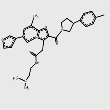 CN(C)CCNC(=O)Cc1c(C(=O)N2CCC(c3ccc(F)cc3)C2)nc2c(C(F)(F)F)cc(-c3ccoc3)cn12